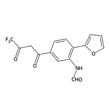 O=CNc1cc(C(=O)CC(=O)C(F)(F)F)ccc1-c1ccco1